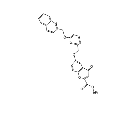 CCCOC(=O)c1cc(=O)c2cc(OCc3cccc(OCc4ccc5ccccc5n4)c3)ccc2o1